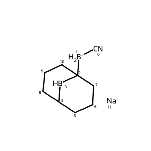 N#C[BH2-]C12BC(CCC1)CCC2.[Na+]